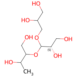 CC(O)C(CO)OC(OCC(O)CO)[C@@H](O)CO